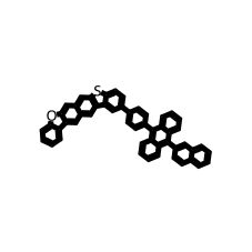 c1ccc2cc(-c3c4ccccc4c(-c4ccc(-c5ccc6sc7cc8cc9oc%10ccccc%10c9cc8cc7c6c5)cc4)c4ccccc34)ccc2c1